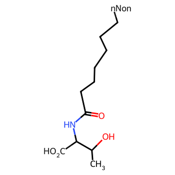 CCCCCCCCCCCCCCCC(=O)NC(C(=O)O)C(C)O